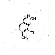 Cc1ccc(/C=N\O)c(F)c1Cl